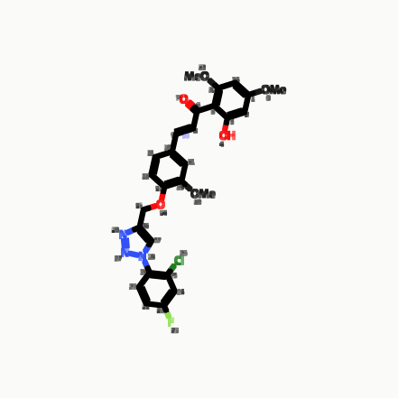 COc1cc(O)c(C(=O)/C=C/c2ccc(OCc3cn(-c4ccc(F)cc4Cl)nn3)c(OC)c2)c(OC)c1